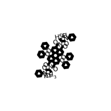 CN(C(=O)C(CS)N1C(=O)c2cc(Oc3ccccc3)c3c4c(Oc5ccccc5)cc5c6c(cc(Oc7ccccc7)c(c7c(Oc8ccccc8)cc(c2c37)C1=O)c64)C(=O)N(C(CS)C(=O)N(C)c1ccccc1)C5=O)c1ccccc1